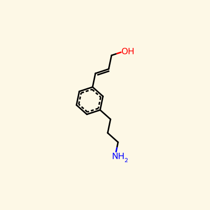 NCCCc1cccc(C=CCO)c1